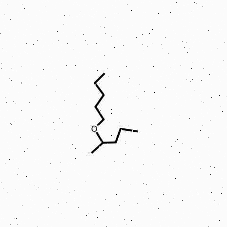 [CH2]C(CCC)OCCCCC